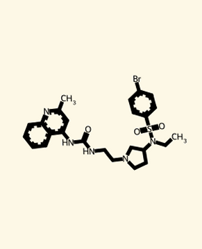 CCN(C1CCN(CCNC(=O)Nc2cc(C)nc3ccccc23)C1)S(=O)(=O)c1ccc(Br)cc1